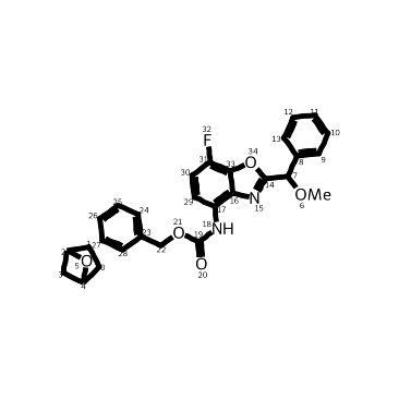 C1CC2CC1O2.COC(c1ccccc1)c1nc2c(NC(=O)OCc3ccccc3)ccc(F)c2o1